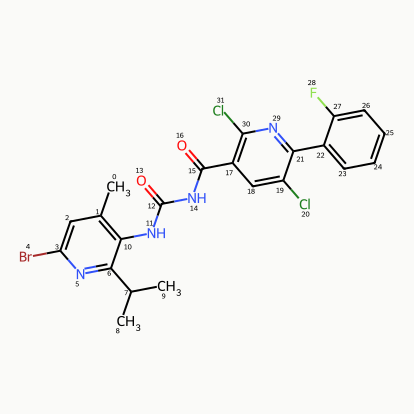 Cc1cc(Br)nc(C(C)C)c1NC(=O)NC(=O)c1cc(Cl)c(-c2ccccc2F)nc1Cl